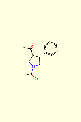 CC(=O)[C@@H]1CN(C(C)=O)C[C@H]1c1ccccc1